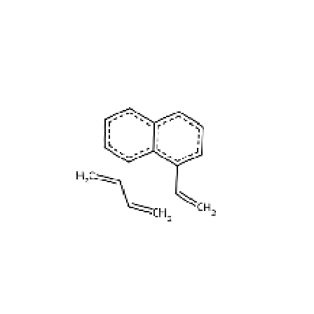 C=CC=C.C=Cc1cccc2ccccc12